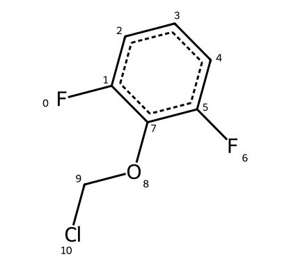 Fc1cccc(F)c1OCCl